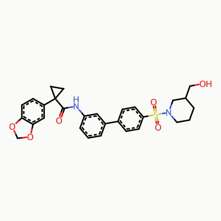 O=C(Nc1cccc(-c2ccc(S(=O)(=O)N3CCCC(CO)C3)cc2)c1)C1(c2ccc3c(c2)OCO3)CC1